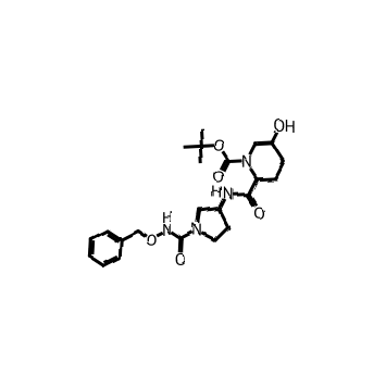 CC(C)(C)OC(=O)N1CC(O)CCC1C(=O)NC1CCN(C(=O)NOCc2ccccc2)C1